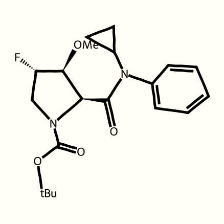 CO[C@H]1[C@@H](C(=O)N(c2ccccc2)C2CC2)N(C(=O)OC(C)(C)C)C[C@@H]1F